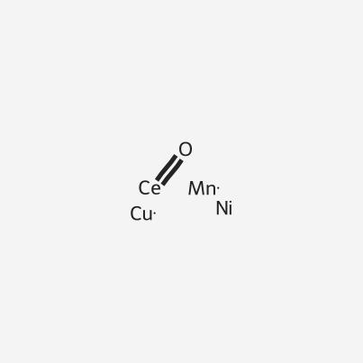 [Cu].[Mn].[Ni].[O]=[Ce]